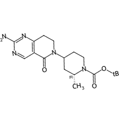 C[C@@H]1CC(N2CCc3nc(N)ncc3C2=O)CCN1C(=O)OC(C)(C)C